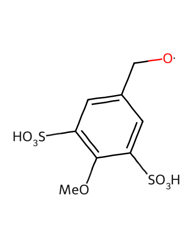 COc1c(S(=O)(=O)O)cc(C[O])cc1S(=O)(=O)O